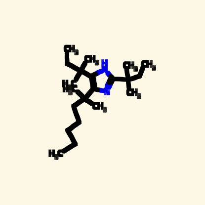 CCCCCC(C)(C)c1nc(C(C)(C)CC)[nH]c1C(C)(C)CC